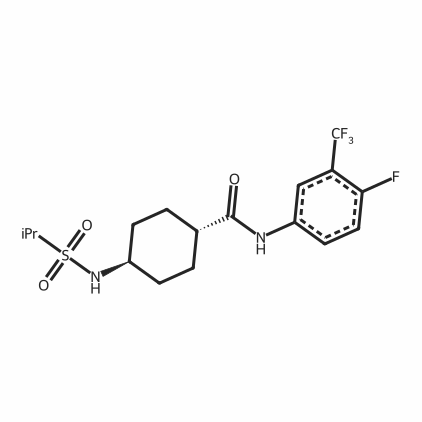 CC(C)S(=O)(=O)N[C@H]1CC[C@H](C(=O)Nc2ccc(F)c(C(F)(F)F)c2)CC1